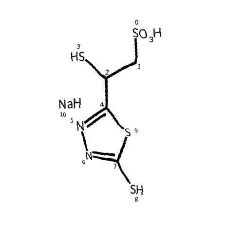 O=S(=O)(O)CC(S)c1nnc(S)s1.[NaH]